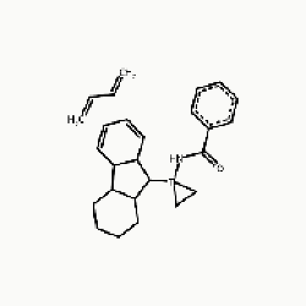 C=CC=C.O=C([NH][Ti]1([CH]2C3C=CC=CC3C3CCCCC32)[CH2][CH2]1)c1ccccc1